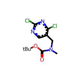 CN(Cc1cnc(Cl)nc1Cl)C(=O)OC(C)(C)C